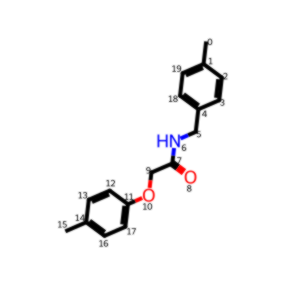 Cc1ccc(CNC(=O)COc2ccc(C)cc2)cc1